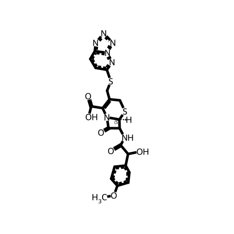 COc1ccc(C(O)C(=O)NC2C(=O)N3C(C(=O)O)=C(CSc4ccc5nnnn5n4)CS[C@@H]23)cc1